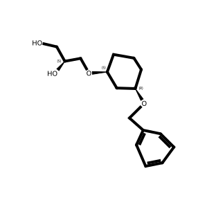 OC[C@H](O)CO[C@H]1CCC[C@@H](OCc2ccccc2)C1